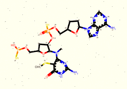 CN(c1nc(N)[nH]c(=O)c1SC=O)C1OC(COP(O)S)C[C@H]1OP(=O)(S)OCC1CCC(n2cnc3c(N)ncnc32)O1